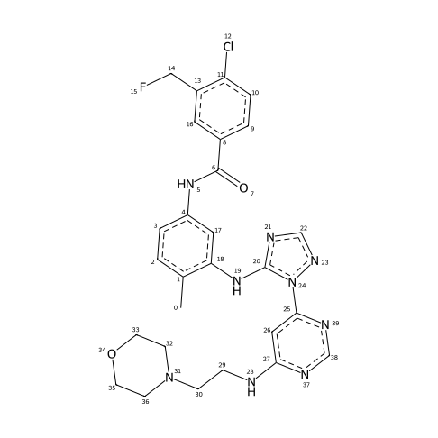 Cc1ccc(NC(=O)c2ccc(Cl)c(CF)c2)cc1Nc1ncnn1-c1cc(NCCN2CCOCC2)ncn1